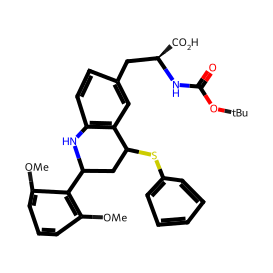 COc1cccc(OC)c1C1CC(Sc2ccccc2)c2cc(C[C@H](NC(=O)OC(C)(C)C)C(=O)O)ccc2N1